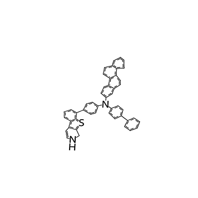 C1=Cc2c(sc3c(-c4ccc(N(c5ccc(-c6ccccc6)cc5)c5ccc6c(ccc7c8ccccc8ccc67)c5)cc4)cccc23)CN1